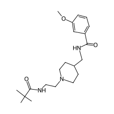 COc1cccc(C(=O)NCC2CCN(CCNC(=O)C(C)(C)C)CC2)c1